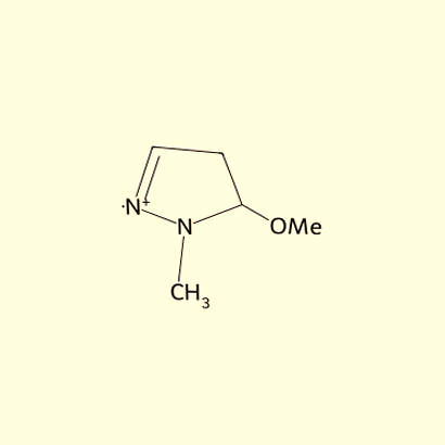 COC1CC=[N+]N1C